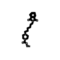 CC(C)(C)OC(=O)N1CCN(CCCCCCN2C(=O)c3ccccc3C2=O)CC1